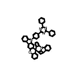 c1ccc(-c2nc(-c3ccccc3)nc(-c3ccc(-n4c5ccccc5c5cc6c(cc54)C4(c5ccccc5O6)c5ccccc5-n5c6ccccc6c6cccc4c65)cc3)n2)cc1